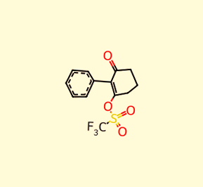 O=C1CCCC(OS(=O)(=O)C(F)(F)F)=C1c1ccccc1